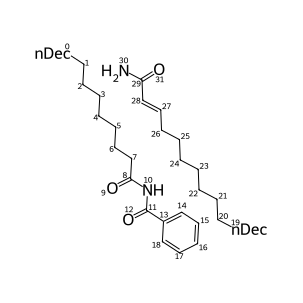 CCCCCCCCCCCCCCCCCC(=O)NC(=O)c1ccccc1.CCCCCCCCCCCCCCCCCC=CC(N)=O